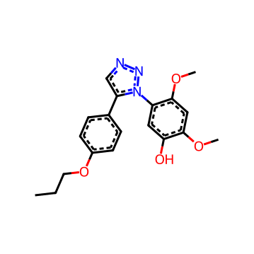 CCCOc1ccc(-c2cnnn2-c2cc(O)c(OC)cc2OC)cc1